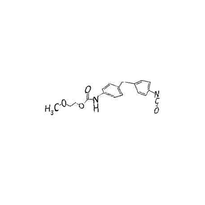 COCCOC(=O)Nc1ccc(Cc2ccc(N=C=O)cc2)cc1